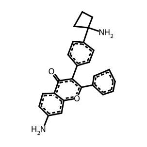 Nc1ccc2c(=O)c(-c3ccc(C4(N)CCC4)cc3)c(-c3ccccc3)oc2c1